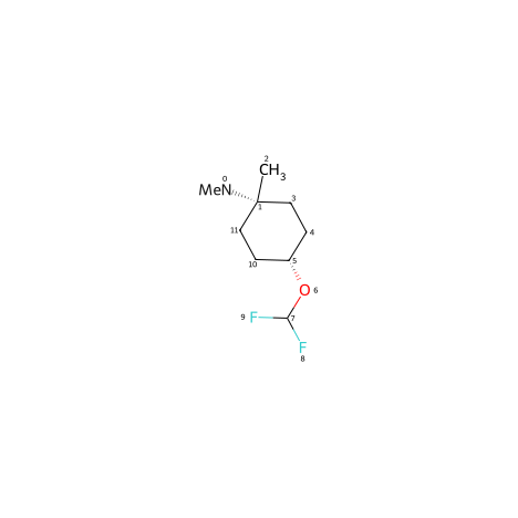 CN[C@]1(C)CC[C@H](OC(F)F)CC1